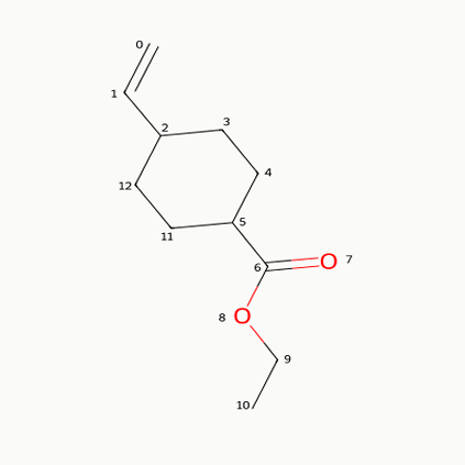 C=CC1CCC(C(=O)OCC)CC1